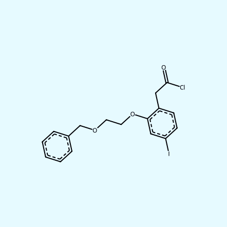 O=C(Cl)Cc1ccc(I)cc1OCCOCc1ccccc1